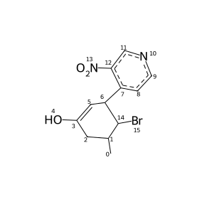 CC1CC(O)=CC(c2ccncc2[N+](=O)[O-])C1Br